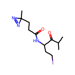 CC(C)C(=O)C(CCI)NC(=O)CCC1(C)N=N1